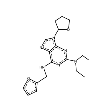 CCN(CC)c1nc(NCc2ccco2)c2ncn(C3CCCO3)c2n1